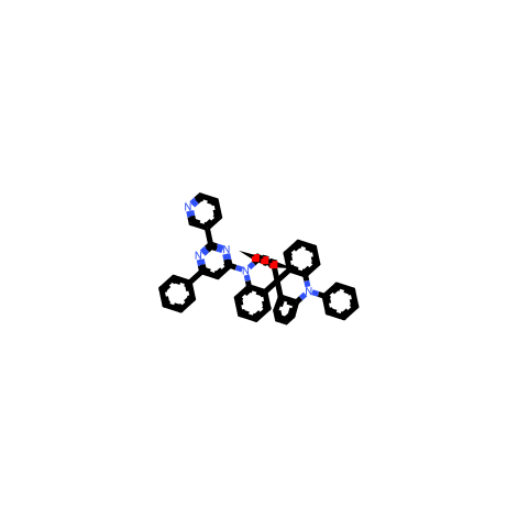 c1ccc(-c2cc(N3c4ccccc4C4(c5ccccc5N(c5ccccc5)c5ccccc54)c4ccccc43)nc(-c3cccnc3)n2)cc1